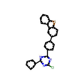 Clc1nc(-c2ccccc2)nc(-c2ccc(-c3ccc4sc5ccccc5c4c3)cc2)n1